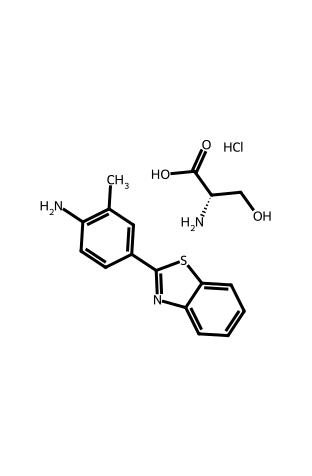 Cc1cc(-c2nc3ccccc3s2)ccc1N.Cl.N[C@@H](CO)C(=O)O